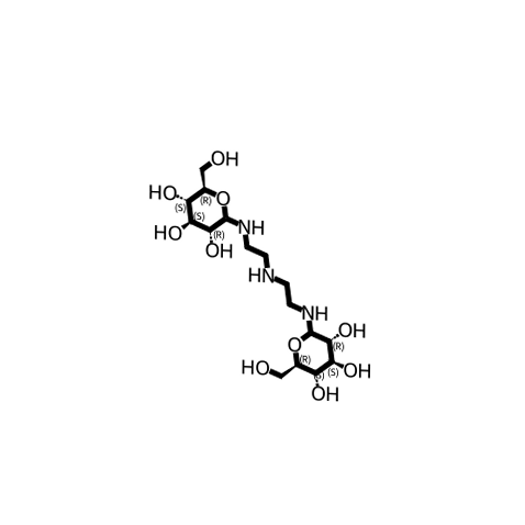 OC[C@H]1OC(NCCNCCNC2O[C@H](CO)[C@@H](O)[C@H](O)[C@H]2O)[C@H](O)[C@@H](O)[C@@H]1O